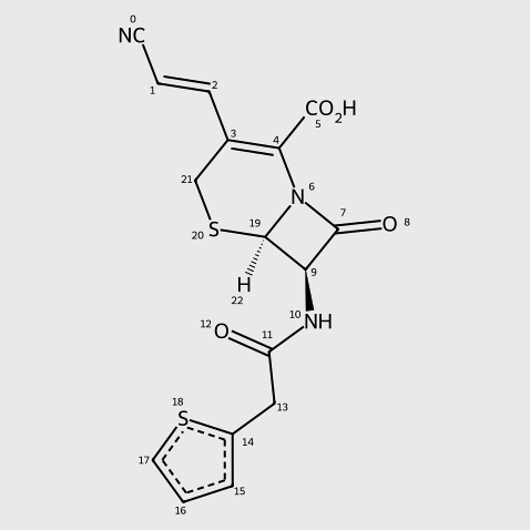 N#C/C=C/C1=C(C(=O)O)N2C(=O)[C@@H](NC(=O)Cc3cccs3)[C@H]2SC1